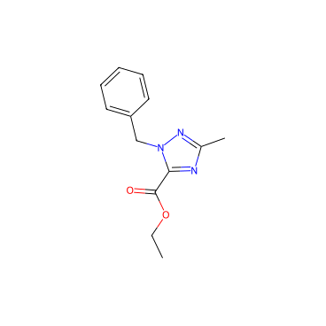 CCOC(=O)c1nc(C)nn1Cc1ccccc1